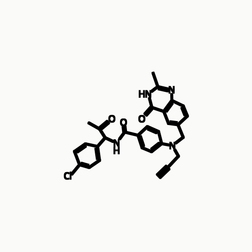 C#CCN(Cc1ccc2nc(C)[nH]c(=O)c2c1)c1ccc(C(=O)NC(C(C)=O)c2ccc(Cl)cc2)cc1